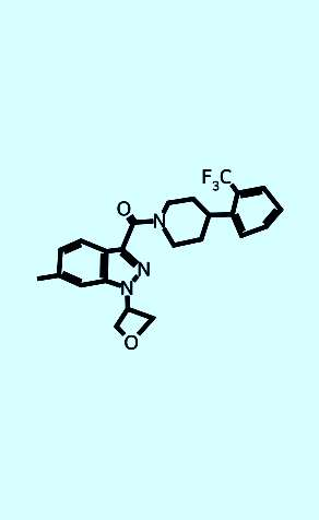 Cc1ccc2c(C(=O)N3CCC(c4ccccc4C(F)(F)F)CC3)nn(C3COC3)c2c1